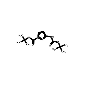 CC(C)(C)OC(=O)Nc1ccn(C(=O)OC(C)(C)C)n1